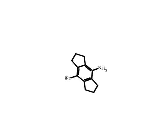 CC(C)c1c2c(c(N)c3c1CCC3)CCC2